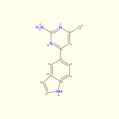 Nc1nc(Cl)cc(-c2ccc3[nH]ccc3c2)n1